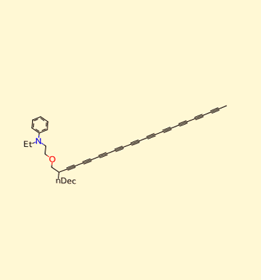 CC#CC#CC#CC#CC#CC#CC#CC#CC#CC#CC(CCCCCCCCCC)COCCN(CC)c1ccccc1